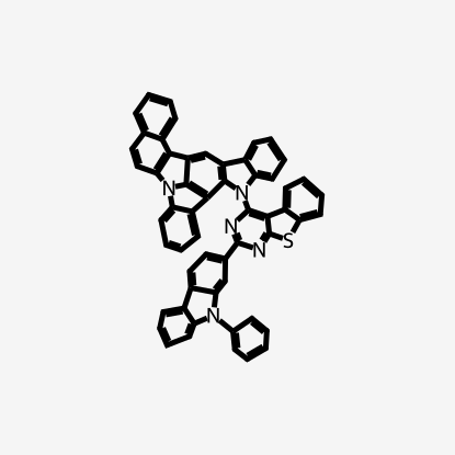 c1ccc(-n2c3ccccc3c3ccc(-c4nc(-n5c6ccccc6c6cc7c8c9ccccc9ccc8n8c9ccccc9c(c65)c78)c5c(n4)sc4ccccc45)cc32)cc1